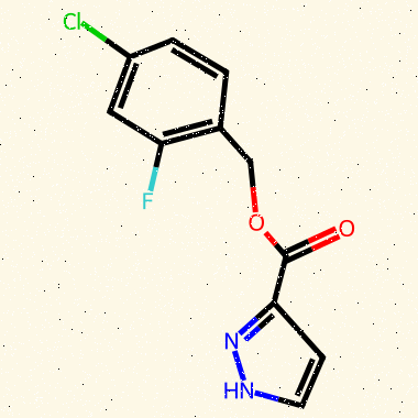 O=C(OCc1ccc(Cl)cc1F)c1cc[nH]n1